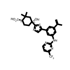 C=C(C)c1cc(Nc2nccc(C(F)(F)F)n2)cc(-c2cnc([C@@]3(O)CC[C@@H](C(=O)O)C(C)(C)C3)s2)c1